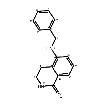 O=C1NCCc2c(NCc3ccccc3)cccc21